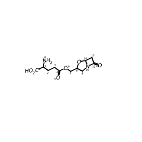 NC(CCC(=O)OCC1CN2C(=O)CC2O1)C(=O)O